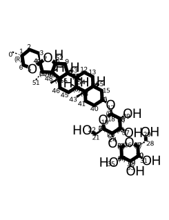 C[C@@H]1CC[C@@]2(OC1)O[C@H]1C[C@H]3[C@@H]4CC[C@H]5C[C@@H](O[C@@H]6O[C@H](CO)[C@@H](O[C@@H]7O[C@H](CO)[C@@H](O)[C@H](O)[C@H]7O)[C@H](O)[C@H]6O)CC[C@]5(C)[C@H]4CC[C@]3(C)[C@H]1[C@@H]2C